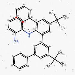 CC(C)(C)c1cc(-c2ccccc2)cc(-c2cc(C(C)(C)C)cc(-c3ccccc3)c2Nc2ccccc2N)c1